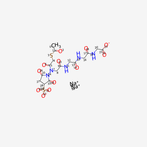 CC(=O)SCC(=O)N(CC(=O)NCC(=O)NCC(=O)NCC(=O)[O-])N1C(=O)CC(S(=O)(=O)[O-])C1=O.[Na+].[Na+]